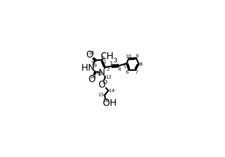 Cc1c(C#Cc2ccccc2)n(COCCO)c(=O)[nH]c1=O